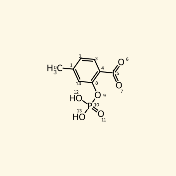 Cc1ccc(I(=O)=O)c(OP(=O)(O)O)c1